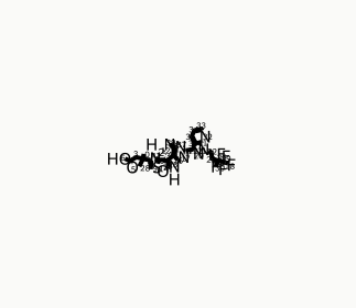 CC(C)(CC(=O)O)c1csc([C@]2(C)C(=O)Nc3nc(-c4nn(CCC(F)(F)C(F)(F)F)c5ncccc45)nc(N)c32)n1